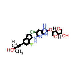 CC(C)(O)C#Cc1cc(F)c2c(c1)CC[C@@H]2Nc1nc2nc(O[C@@H]3CO[C@H]4[C@@H]3OC[C@H]4O)[nH]c2cc1Cl